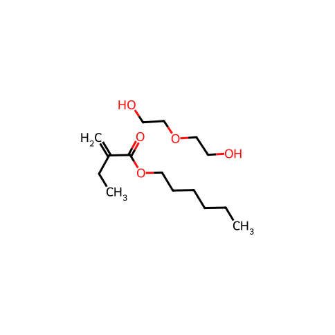 C=C(CC)C(=O)OCCCCCC.OCCOCCO